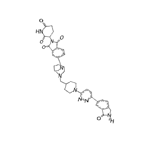 [2H]N1Cc2ccc(-c3ccc(N4CCC(CN5CC6CCC5CN6c5ccc6c(c5)C(=O)N(C5CCC(=O)NC5=O)C6=O)CC4)nn3)cc2C1=O